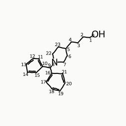 OCCCCC1CCN(C(c2ccccc2)c2ccccc2)CC1